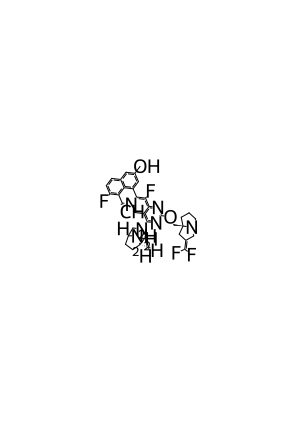 [2H]C([2H])([2H])[C@@]12CC[C@@H](CN(c3nc(OC[C@@]45CCCN4CC(=C(F)F)C5)nc4c(F)c(-c5cc(O)cc6ccc(F)c(C#C)c56)ncc34)C1)N2